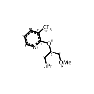 COC[C@@H](CC(C)C)Oc1ncccc1C(F)(F)F